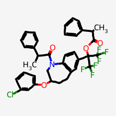 CC(C(=O)OC(c1ccc2c(c1)CCC(Oc1cccc(Cl)c1)CN2C(=O)C(C)c1ccccc1)(C(F)(F)F)C(F)(F)F)c1ccccc1